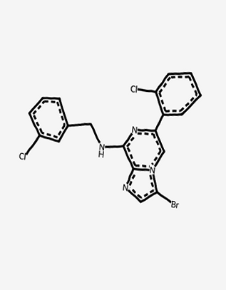 Clc1cccc(CNc2nc(-c3ccccc3Cl)cn3c(Br)cnc23)c1